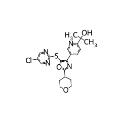 CC(C)(O)c1ccc(-c2nc(C3CCOCC3)oc2Sc2ncc(Cl)cn2)cn1